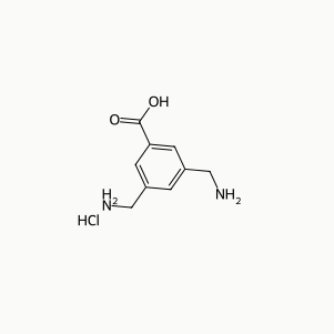 Cl.NCc1cc(CN)cc(C(=O)O)c1